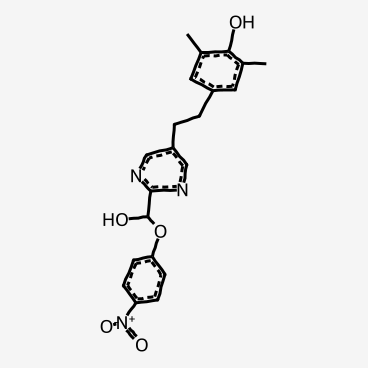 Cc1cc(CCc2cnc(C(O)Oc3ccc([N+](=O)[O-])cc3)nc2)cc(C)c1O